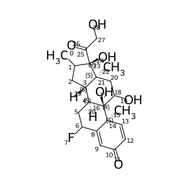 CC1C[C@H]2[C@@H]3CC(F)C4=CC(=O)C=C[C@]4(C)[C@@]3(O)C(O)C[C@]2(C)[C@@]1(O)C(=O)CO